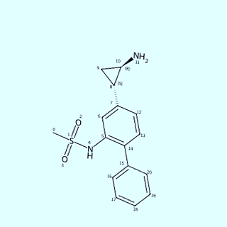 CS(=O)(=O)Nc1cc([C@@H]2C[C@H]2N)ccc1-c1ccccc1